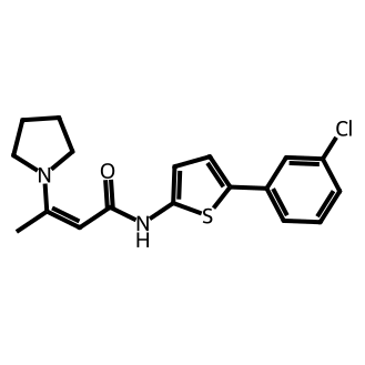 CC(=CC(=O)Nc1ccc(-c2cccc(Cl)c2)s1)N1CCCC1